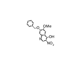 COc1cc2c(O)c([N+](=O)[O-])cnc2cc1OCc1ccccc1